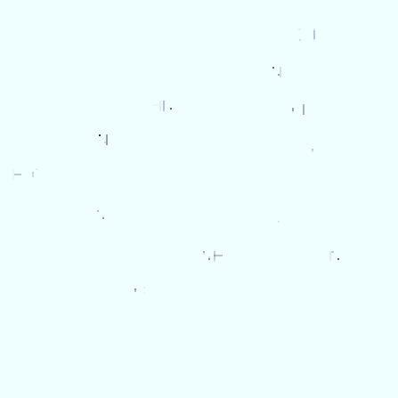 Cc1nc(NCCN(C)C)cc(C(=O)Nc2ccccc2-c2nc3cccnc3s2)n1